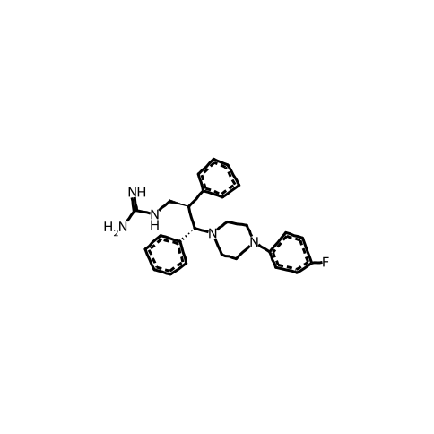 N=C(N)NC[C@@H](c1ccccc1)[C@@H](c1ccccc1)N1CCN(c2ccc(F)cc2)CC1